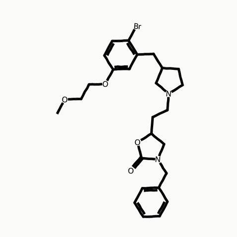 COCCOc1ccc(Br)c(CC2CCN(CCC3CN(Cc4ccccc4)C(=O)O3)C2)c1